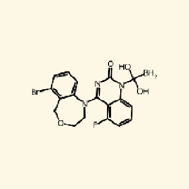 BC(O)(O)n1c(=O)nc(N2CCOCc3c(Br)cccc32)c2c(F)cccc21